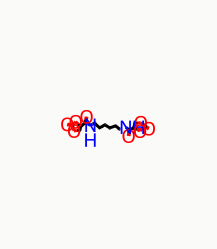 O=C1OCC(C(=O)NCCCCCCNC(=O)C2COC(=O)O2)O1